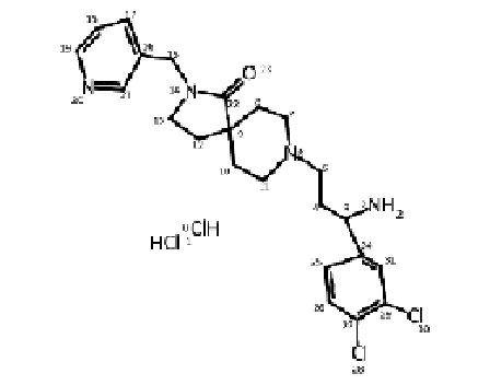 Cl.Cl.NC(CCN1CCC2(CC1)CCN(Cc1cccnc1)C2=O)c1ccc(Cl)c(Cl)c1